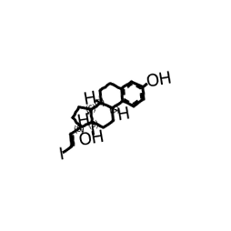 C[C@]12CC[C@@H]3c4ccc(O)cc4CC[C@H]3[C@@H]1CC[C@]2(O)C=CI